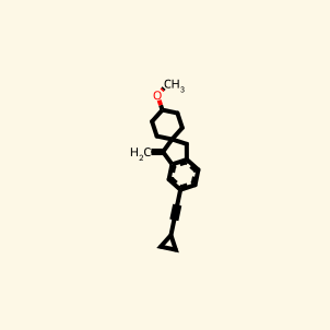 C=C1c2cc(C#CC3CC3)ccc2CC12CCC(OC)CC2